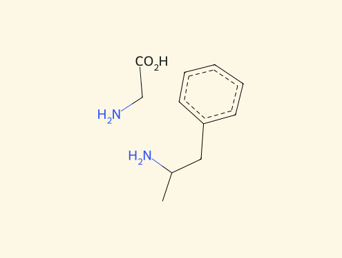 CC(N)Cc1ccccc1.NCC(=O)O